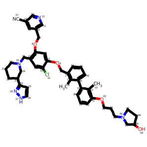 Cc1c(COc2cc(OCc3cncc(C#N)c3)c(CN3CCCC(c4cc[nH]n4)C3)cc2Cl)cccc1-c1cccc(OCCCN2CCC(O)C2)c1C